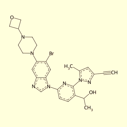 C#Cc1cc(C)n(-c2nc(-n3cnc4cc(N5CCN(C6COC6)CC5)c(Br)cc43)ccc2C(C)O)n1